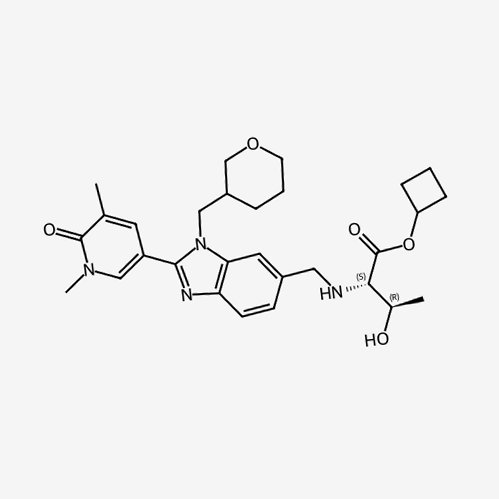 Cc1cc(-c2nc3ccc(CN[C@H](C(=O)OC4CCC4)[C@@H](C)O)cc3n2CC2CCCOC2)cn(C)c1=O